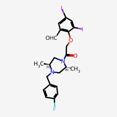 C[C@@H]1CN(Cc2ccc(F)cc2)[C@@H](C)CN1C(=O)COc1c(I)cc(I)cc1C=O